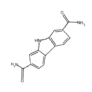 NC(=O)c1ccc2c(c1)[nH]c1cc(C(N)=O)ccc12